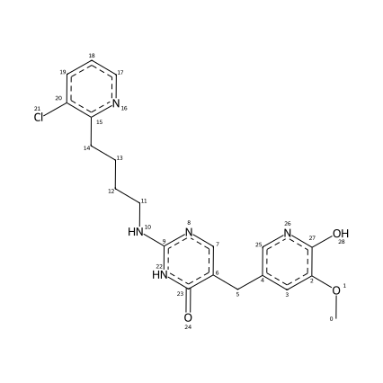 COc1cc(Cc2cnc(NCCCCc3ncccc3Cl)[nH]c2=O)cnc1O